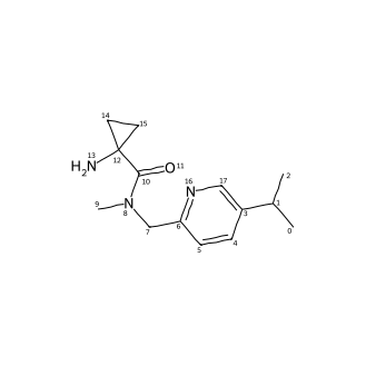 CC(C)c1ccc(CN(C)C(=O)C2(N)CC2)nc1